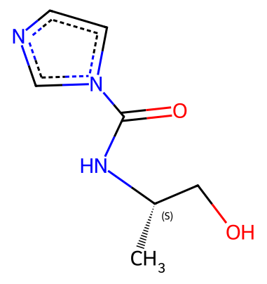 C[C@@H](CO)NC(=O)n1ccnc1